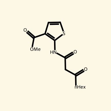 CCCCCCC(=O)CC(=O)Nc1sccc1C(=O)OC